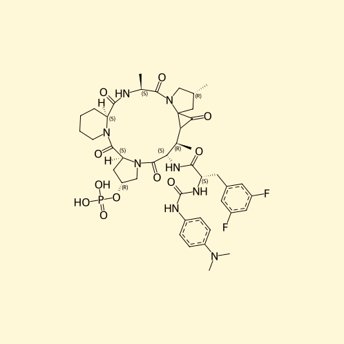 C[C@H]1CN2C(=O)[C@H](C)NC(=O)[C@@H]3CCCCN3C(=O)[C@@H]3C[C@@H](OP(=O)(O)O)CN3C(=O)[C@@H](NC(=O)[C@H](Cc3cc(F)cc(F)c3)NC(=O)Nc3ccc(N(C)C)cc3)[C@H](C)C3C(=O)C32C1